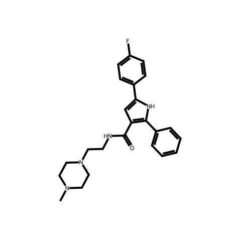 CN1CCN(CCNC(=O)c2cc(-c3ccc(F)cc3)[nH]c2-c2ccccc2)CC1